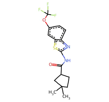 CC1(C)CCC(C(=O)Nc2nc3ccc(OC(F)(F)F)cc3s2)C1